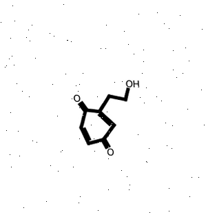 O=C1C=CC(=O)C(CCO)=C1